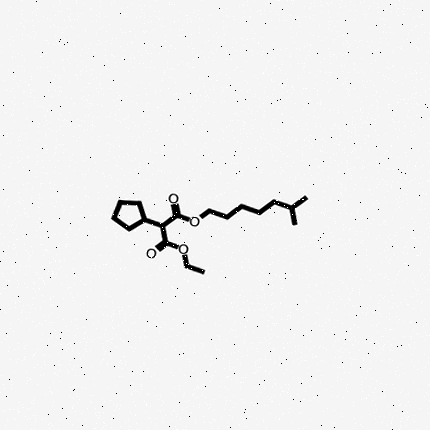 CCOC(=O)C(C(=O)OCCCCCC(C)C)C1CCCC1